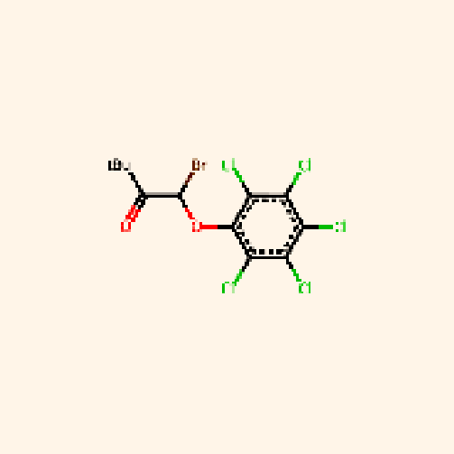 CC(C)(C)C(=O)C(Br)Oc1c(Cl)c(Cl)c(Cl)c(Cl)c1Cl